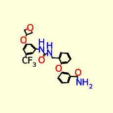 NC(=O)c1cccc(Oc2ccccc2CNC(=O)Nc2cc(OC3COC3)cc(C(F)(F)F)c2)c1